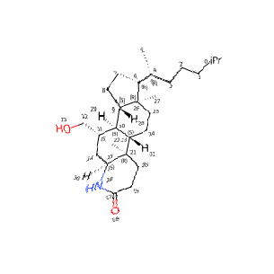 CC(C)CCC[C@@H](C)[C@H]1CC[C@H]2[C@@H]3[C@@H](CO)C[C@@H]4NC(=O)CC[C@]4(C)[C@H]3CC[C@]12C